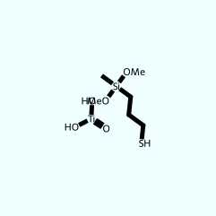 CO[Si](C)(CCCS)OC.[O]=[Ti]([OH])[OH]